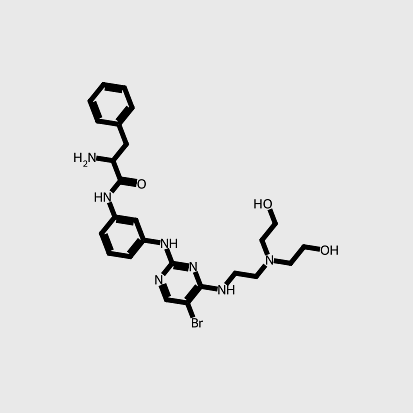 NC(Cc1ccccc1)C(=O)Nc1cccc(Nc2ncc(Br)c(NCCN(CCO)CCO)n2)c1